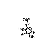 CC(=O)OCC1O[C@@H](F)[C@@H](O)C(O)[C@@H]1O